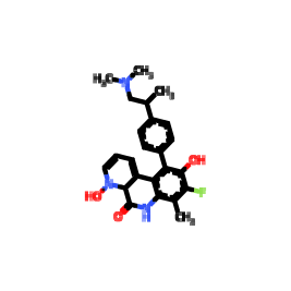 Cc1c(F)c(O)c(-c2ccc(C(C)CN(C)C)cc2)c2c1NC(=O)C1C2=CC=CN1O